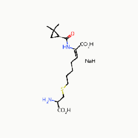 CC1(C)C[C@@H]1C(=O)N/C(=C\CCCCSC[C@H](N)C(=O)O)C(=O)O.[NaH]